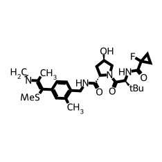 C=N/C(C)=C(\SC)c1ccc(CNC(=O)[C@@H]2C[C@@H](O)CN2C(=O)[C@@H](NC(=O)C2(F)CC2)C(C)(C)C)c(C)c1